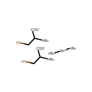 CCCCC(CS)C(=O)[O-].CCCCC(CS)C(=O)[O-].CCC[CH2][Sn+2][CH2]CCC